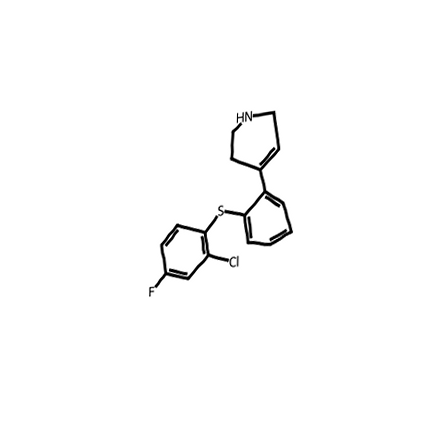 Fc1ccc(Sc2ccccc2C2=CCNCC2)c(Cl)c1